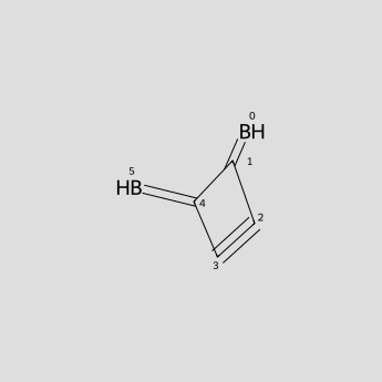 B=C1C#CC1=B